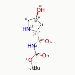 CC(C)(C)OC(=O)NC(=O)[C@H]1C[C@H](O)CN1